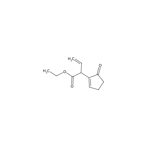 C=CC(C(=O)OCC)C1=CCCC1=O